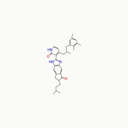 Cc1cc(C)c(C)c(CC(C)Cc2cc[nH]c(=O)c2-c2nc3cc4c(cc3[nH]2)CC(CCC(C)C)C4=O)c1